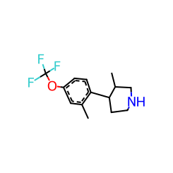 Cc1cc(OC(F)(F)F)ccc1C1CCNCC1C